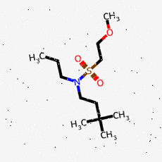 CCCN(CCC(C)(C)C)S(=O)(=O)CCOC